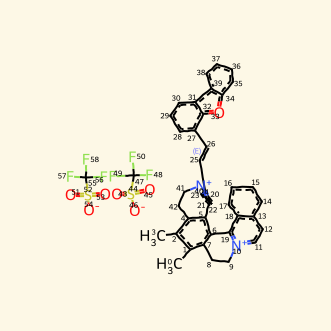 Cc1c(C)c2c(c3c1CC[n+]1ccc4ccccc4c1-3)-c1cccc(/C=C/c3cccc4c3oc3ccccc34)[n+]1CC2.O=S(=O)([O-])C(F)(F)F.O=S(=O)([O-])C(F)(F)F